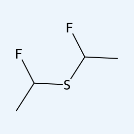 CC(F)SC(C)F